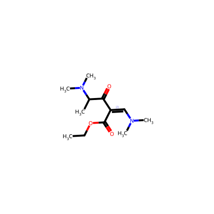 CCOC(=O)/C(=C\N(C)C)C(=O)C(C)N(C)C